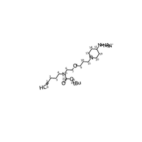 C#CCCCN(CCOCCCN1CCC(N=[N+]=[N-])CC1)C(=O)OC(C)(C)C